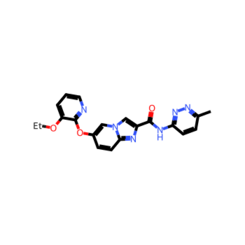 CCOc1cccnc1Oc1ccc2nc(C(=O)Nc3ccc(C)nn3)cn2c1